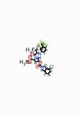 C=C(C)[C@H](Nc1ccc(F)c(C(F)(F)F)c1)C(=O)N1C[C@H](OC(=O)N2Cc3cccc(Cl)c3C2)C[C@H]1C(=O)OC